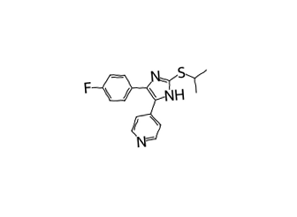 CC(C)Sc1nc(-c2ccc(F)cc2)c(-c2ccncc2)[nH]1